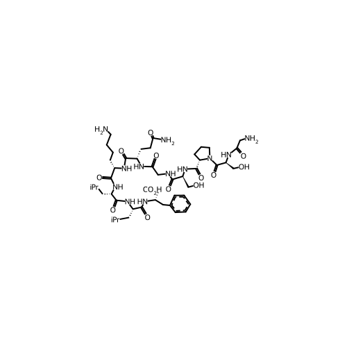 CC(C)C[C@H](NC(=O)[C@H](CC(C)C)NC(=O)[C@H](CCCCN)NC(=O)[C@H](CCC(N)=O)NC(=O)CNC(=O)[C@H](CO)NC(=O)[C@@H]1CCCN1C(=O)[C@H](CO)NC(=O)CN)C(=O)N[C@@H](Cc1ccccc1)C(=O)O